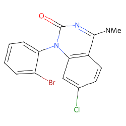 CNc1nc(=O)n(-c2ccccc2Br)c2cc(Cl)ccc12